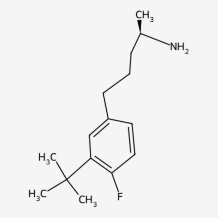 C[C@@H](N)CCCc1ccc(F)c(C(C)(C)C)c1